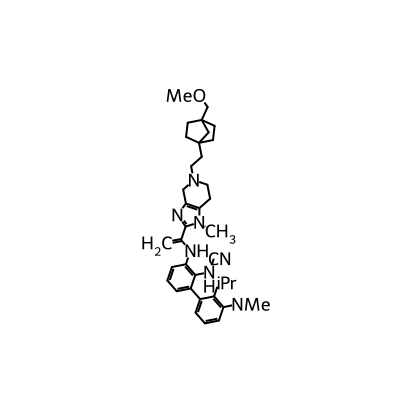 C=C(Nc1cccc(-c2cccc(NC)c2C(C)C)c1NC#N)c1nc2c(n1C)CCN(CCC13CCC(COC)(CC1)C3)C2